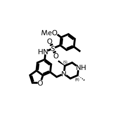 COc1ccc(C)cc1S(=O)(=O)Nc1cc(CN2C[C@@H](C)NC[C@@H]2C)c2occc2c1